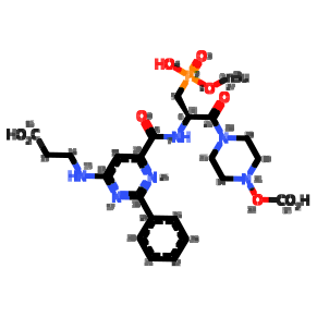 CCCCOP(=O)(O)C[C@H](NC(=O)c1cc(NCCC(=O)O)nc(-c2ccccc2)n1)C(=O)N1CCN(OC(=O)O)CC1